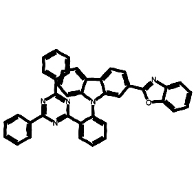 c1ccc(-c2nc(-c3ccccc3)nc(-c3ccccc3-n3c4ccccc4c4ccc(-c5nc6ccccc6o5)cc43)n2)cc1